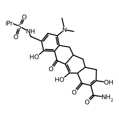 CC(C)S(=O)(=O)NCc1cc(N(C)C)c2c(c1O)C(=O)C1=C(O)C3C(=O)C(C(N)=O)=C(O)CC3CC1C2